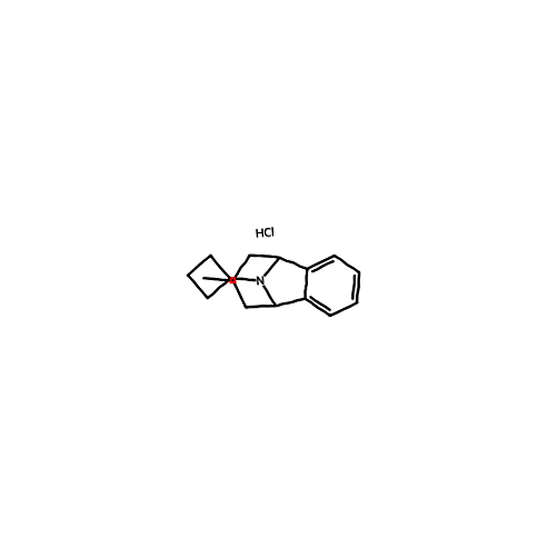 CC1CC2c3ccccc3C(C1)N2C1CCC1.Cl